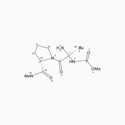 CC[C@@H](C)C(N)(NC(=O)OC)C(=O)N1CCC[C@H]1C(=O)NC